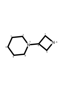 C1CCN(C2C[N]C2)CC1